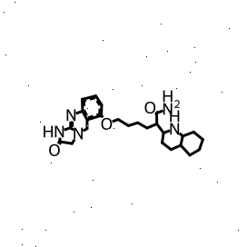 NC(=O)C(CCCCOc1cccc2c1CN1CC(=O)NC1=N2)C1CCC2CCCCC2N1